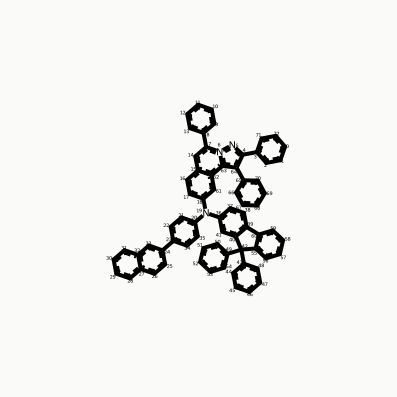 c1ccc(-c2nn3c(-c4ccccc4)cc4ccc(N(c5ccc(-c6ccc7ccccc7c6)cc5)c5ccc6c(c5)C(c5ccccc5)(c5ccccc5)c5ccccc5-6)cc4c3c2-c2ccccc2)cc1